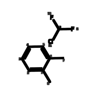 Cc1ccccc1C.FC(F)Cl